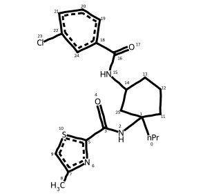 CCCC1(NC(=O)c2nc(C)cs2)CCCC(NC(=O)c2cccc(Cl)c2)C1